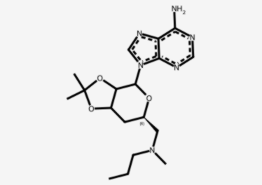 CCCN(C)C[C@H]1CC2OC(C)(C)OC2C(n2cnc3c(N)ncnc32)O1